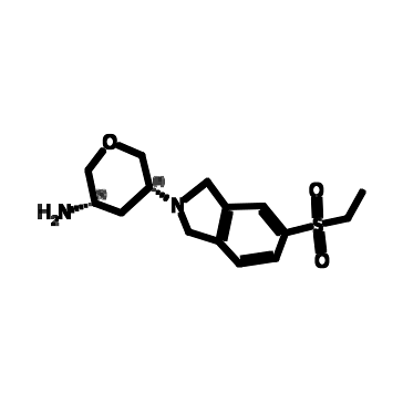 CCS(=O)(=O)c1ccc2c(c1)CN([C@H]1COC[C@@H](N)C1)C2